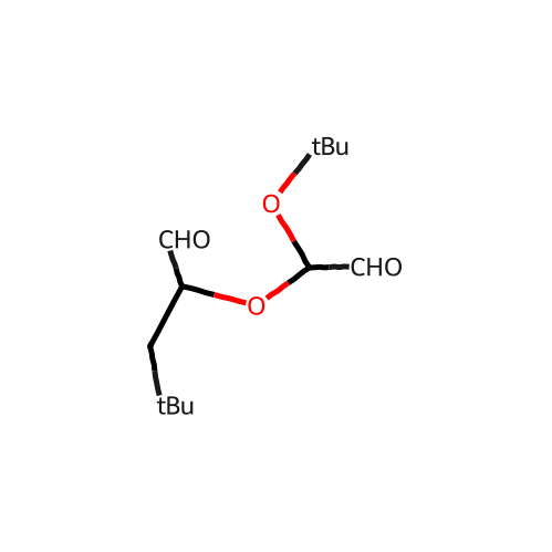 CC(C)(C)CC(C=O)OC(C=O)OC(C)(C)C